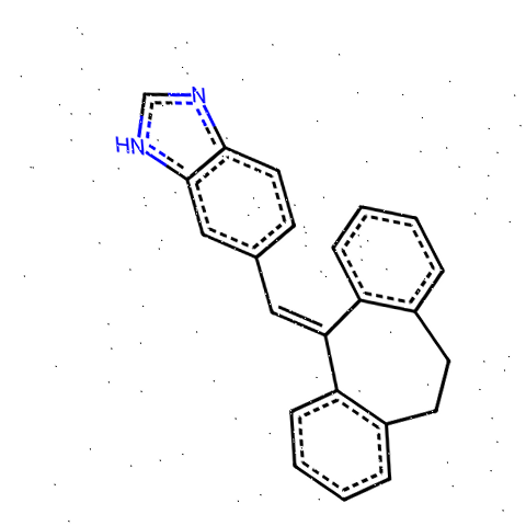 C(=C1c2ccccc2CCc2ccccc21)c1ccc2nc[nH]c2c1